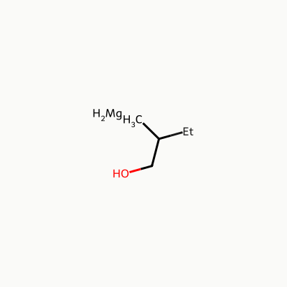 CCC(C)CO.[MgH2]